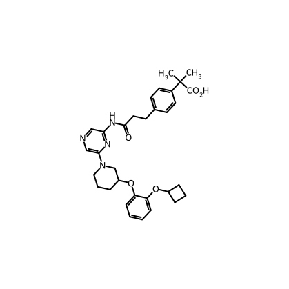 CC(C)(C(=O)O)c1ccc(CCC(=O)Nc2cncc(N3CCCC(Oc4ccccc4OC4CCC4)C3)n2)cc1